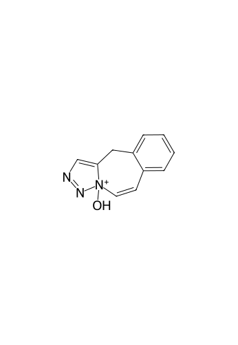 O[N+]12C=Cc3ccccc3CC1=CN=N2